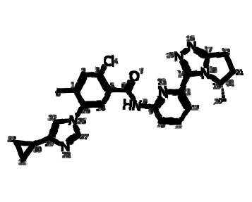 Cc1cc(Cl)c(C(=O)Nc2cccc(-c3nnc4n3[C@@H](C)CC4)n2)cc1-n1cnc(C2CC2)c1